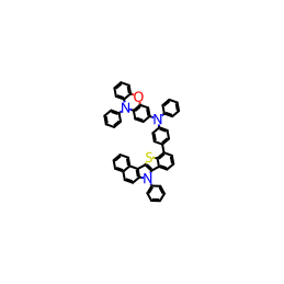 c1ccc(N(c2ccc(-c3cccc4c3sc3c5c6ccccc6ccc5n(-c5ccccc5)c43)cc2)c2ccc3c(c2)Oc2ccccc2N3c2ccccc2)cc1